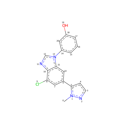 Cn1nccc1-c1cc(Cl)c2ncn(-c3cccc(O)c3)c2c1